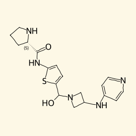 O=C(Nc1ccc(C(O)N2CC(Nc3ccncc3)C2)s1)[C@@H]1CCCN1